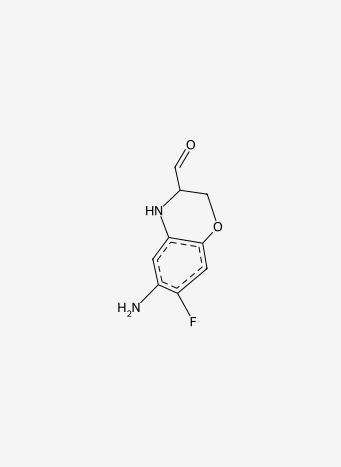 Nc1cc2c(cc1F)OCC(C=O)N2